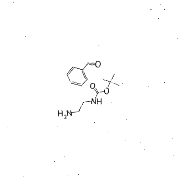 CC(C)(C)OC(=O)NCCN.O=Cc1ccccc1